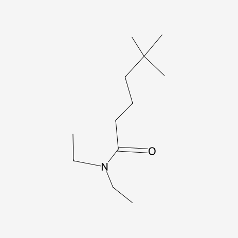 CCN(CC)C(=O)CCCC(C)(C)C